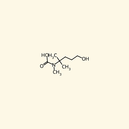 CN(C(=O)O)C(C)(C)CCCO